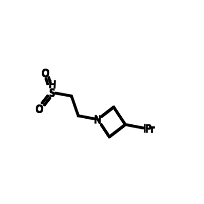 CC(C)C1CN(CC[SH](=O)=O)C1